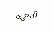 c1cc(-c2ccc3ccc4cccnc4c3n2)cc(-c2cccc3c2sc2ccccc23)c1